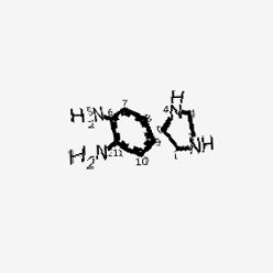 C1CNCN1.Nc1ccccc1N